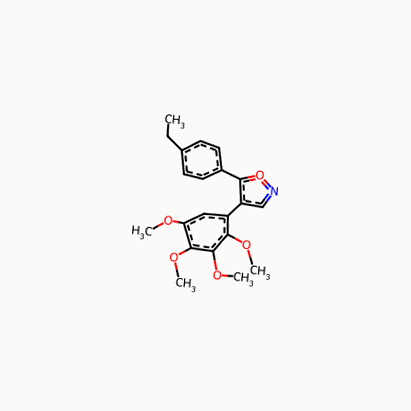 CCc1ccc(-c2oncc2-c2cc(OC)c(OC)c(OC)c2OC)cc1